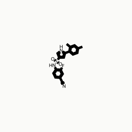 Cc1ccc(-c2cc(S(=O)(=O)Nc3ccc(C#N)cc3F)c[nH]2)c(C)c1